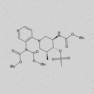 C[C@H]1CN(c2ccncc2N(C(=O)OC(C)(C)C)C(=O)OC(C)(C)C)C[C@@H](NC(=O)OC(C)(C)C)[C@@H]1OS(C)(=O)=O